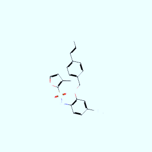 Cc1ccc(NS(=O)(=O)c2occc2C(C)C)c(OCc2ccc(/C=C/C(=O)O)cc2)c1